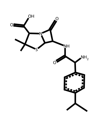 CC(C)c1ccc(C(N)C(=O)NC2C(=O)N3C2SC(C)(C)C3C(=O)O)cc1